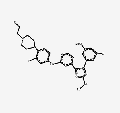 CCNc1nc(-c2cc(Cl)cc(OC)c2)c(-c2ccnc(Nc3ccc(N4CCN(CCF)CC4)c(F)c3)n2)o1